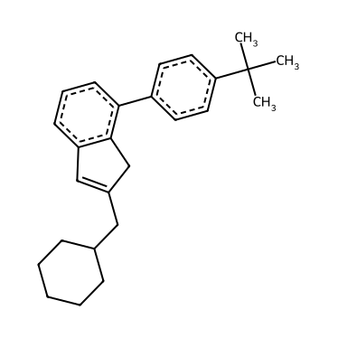 CC(C)(C)c1ccc(-c2cccc3c2CC(CC2CCCCC2)=C3)cc1